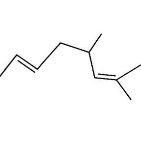 CC=CCC(C)C=C(C)C